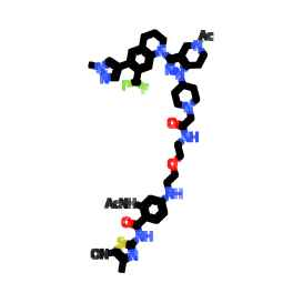 CC(=O)Nc1cc(NCCOCCNC(=O)CN2CCC(n3nc(N4CCCc5cc(-c6cnn(C)c6)c(C(F)F)cc54)c4c3CCN(C(C)=O)C4)CC2)ccc1C(=O)Nc1nc(C)c(N=O)s1